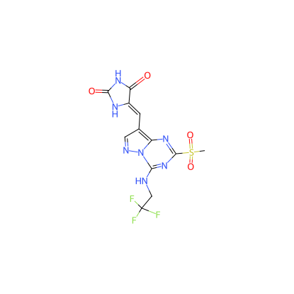 CS(=O)(=O)c1nc(NCC(F)(F)F)n2ncc(/C=C3\NC(=O)NC3=O)c2n1